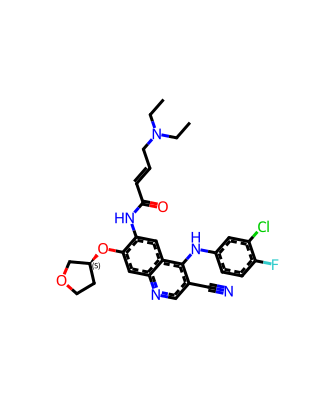 CCN(CC)CC=CC(=O)Nc1cc2c(Nc3ccc(F)c(Cl)c3)c(C#N)cnc2cc1O[C@H]1CCOC1